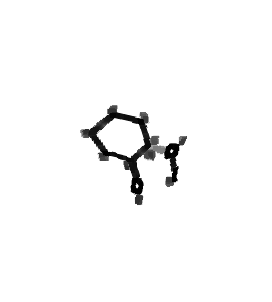 O=C1CCCC[C@@H]1OI